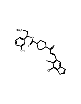 O=C(O)CC(NC(=O)C1CCN(C(=O)/C=C/c2cc3ccsc3c(Cl)c2Cl)CC1)c1cccc(O)c1